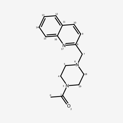 CC(=O)N1CCN(Cc2ccc3ccccc3n2)CC1